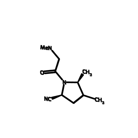 CNCC(=O)N1[C@H](C#N)CC(C)[C@@H]1C